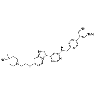 CN/C=C(\C=N)c1ccc(CNc2cc(-c3cnc4cc(OCCN5CCC(C)(C#N)CC5)ccn34)ncn2)cc1